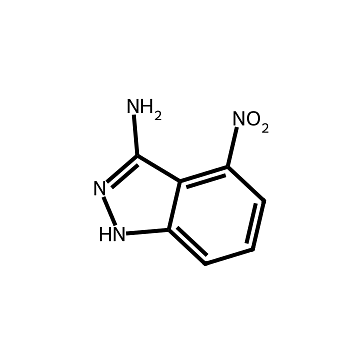 Nc1n[nH]c2cccc([N+](=O)[O-])c12